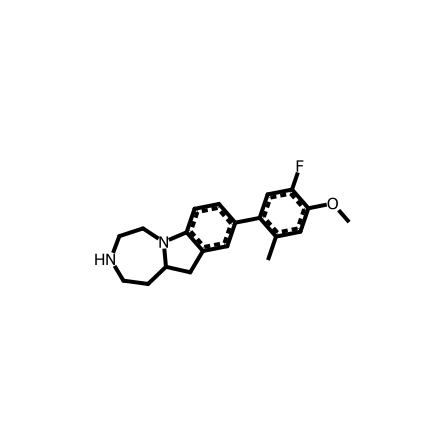 COc1cc(C)c(-c2ccc3c(c2)CC2CCNCCN32)cc1F